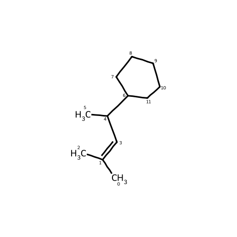 CC(C)=CC(C)C1CCCCC1